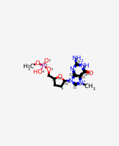 COP(=O)(O)OCC1CCC(n2c[n+](C)c3c(=O)[nH]c(N)nc32)O1